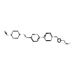 C=CCOCc1ccc(-c2ccc(CCC3CCC(C=C)CC3)cc2)cc1